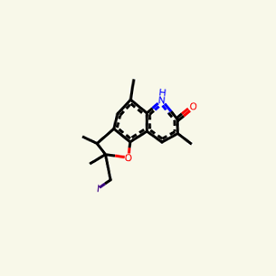 Cc1cc2c3c(cc(C)c2[nH]c1=O)C(C)C(C)(CI)O3